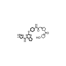 Cc1cc(Nc2nc(Sc3ccc(NC(=O)CN4CC[C@@H](C(=O)N5CC[C@H](O)C5)C4)cc3)nc3cccn23)n[nH]1